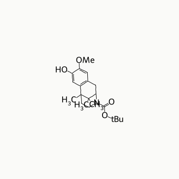 COc1cc2c(cc1O)C1(C)CCN(C(=O)OC(C)(C)C)C(C2)C1(C)C